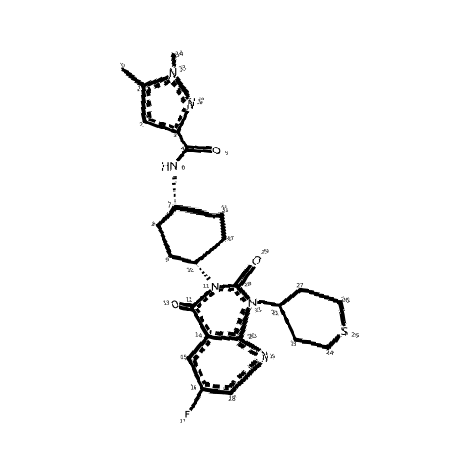 Cc1cc(C(=O)N[C@H]2CC[C@@H](n3c(=O)c4cc(F)cnc4n(C4CCSCC4)c3=O)CC2)nn1C